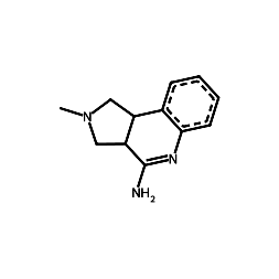 CN1CC2C(N)=Nc3ccccc3C2C1